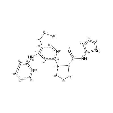 O=C(Nc1nccs1)[C@@H]1CCCN1c1nc2c(c(Nc3ccccn3)n1)CCC2